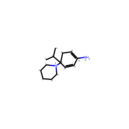 CC(C)C1(N2CCCCC2)C=CC(N)=CC1